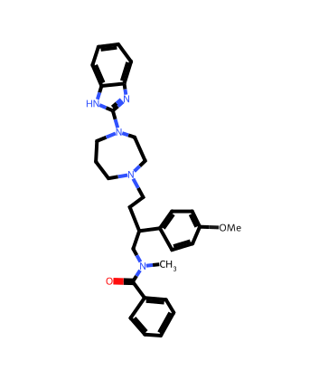 COc1ccc(C(CCN2CCCN(c3nc4ccccc4[nH]3)CC2)CN(C)C(=O)c2ccccc2)cc1